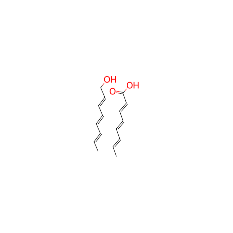 C/C=C/C=C/C=C/C(=O)O.C/C=C/C=C/C=C/CO